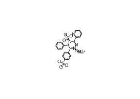 O=S(=O)([O-])c1ccc(C2=NN=C(c3ccccn3)N(S(=O)(=O)[O-])C2c2ccccc2)cc1.[Na+].[Na+]